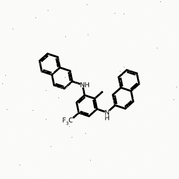 Cc1c(Nc2ccc3ccccc3c2)cc(C(F)(F)F)cc1Nc1ccc2ccccc2c1